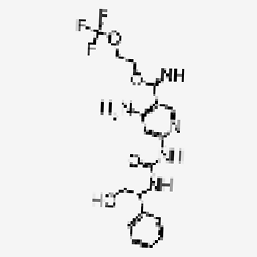 N=C(OCCOC(F)(F)F)c1cnc(NC(=O)N[C@H](CO)c2ccccc2)cc1N